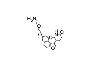 NCCOCCOc1ccc2c(ccc3occ(C4CCC(=O)NC4=O)c32)c1